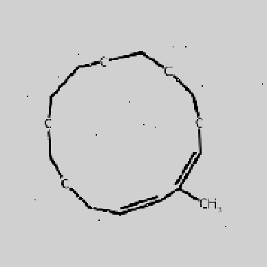 CC1=CCCCCCCCCCCCC=C1